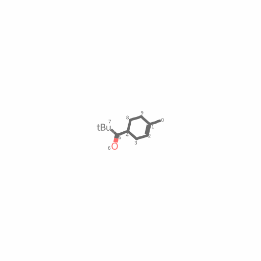 CC1=CCC(C(=O)C(C)(C)C)CC1